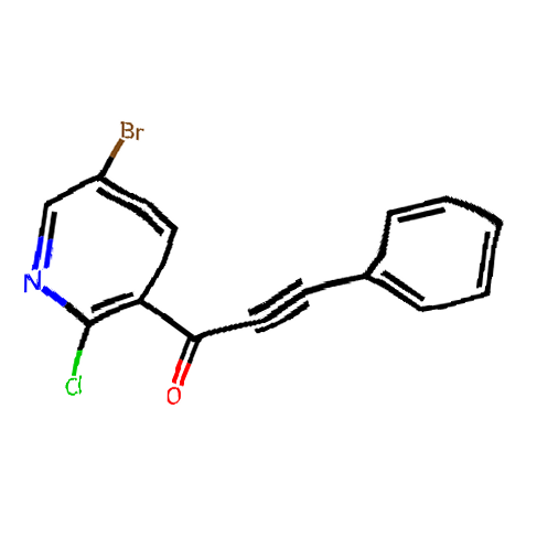 O=C(C#Cc1ccccc1)c1cc(Br)cnc1Cl